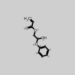 C=CC(=O)OCC(O)Oc1ccccc1